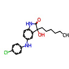 CCCCCCC1(O)C(=O)Nc2ccc(Nc3ccc(Cl)cc3)cc21